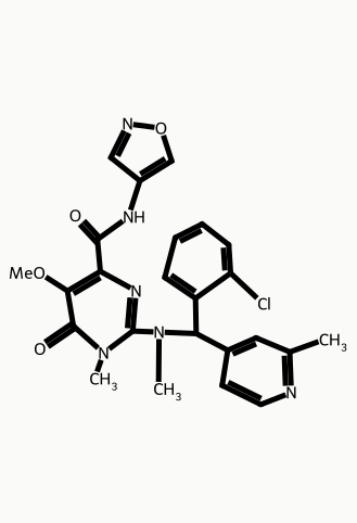 COc1c(C(=O)Nc2cnoc2)nc(N(C)C(c2ccnc(C)c2)c2ccccc2Cl)n(C)c1=O